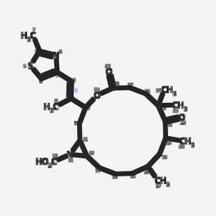 C/C(=C\c1csc(C)n1)C1CC2C(CCCC(C)CC(C)C(=O)C(C)(C)CCC(=O)O1)N2C(=O)O